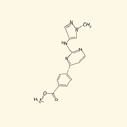 COC(=O)c1ccc(-c2ccnc(Nc3cnn(C)c3)n2)cc1